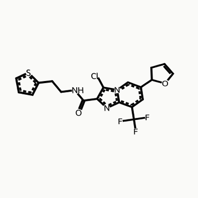 O=C(NCCc1cccs1)c1nc2c(C(F)(F)F)cc(C3CC=CO3)cn2c1Cl